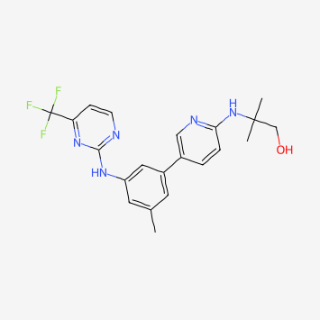 Cc1cc(Nc2nccc(C(F)(F)F)n2)cc(-c2ccc(NC(C)(C)CO)nc2)c1